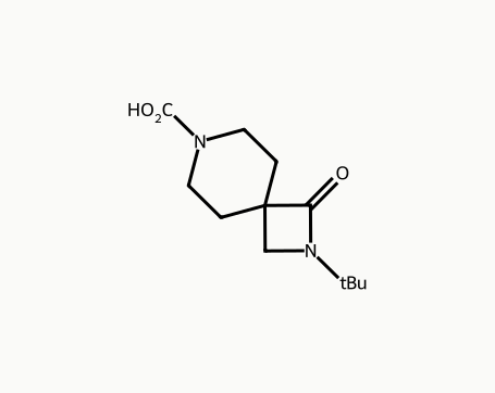 CC(C)(C)N1CC2(CCN(C(=O)O)CC2)C1=O